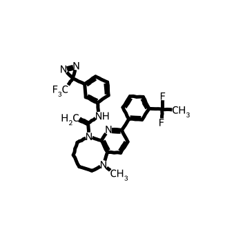 C=C(Nc1cccc(C2(C(F)(F)F)N=N2)c1)N1CCCCN(C)c2ccc(-c3cccc(C(C)(F)F)c3)nc21